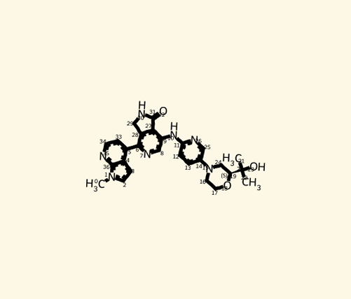 Cn1ccc2c(-c3ncc(Nc4ccc(N5CCO[C@H](C(C)(C)O)C5)cn4)c4c3CNC4=O)ccnc21